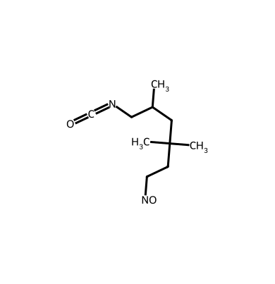 CC(CN=C=O)CC(C)(C)CCN=O